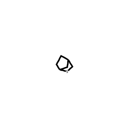 C1CC2CC1CS2